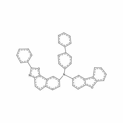 c1ccc(-c2ccc(N(c3ccc4oc5ccccc5c4c3)c3ccc4ccc5nc(-c6ccccc6)oc5c4c3)cc2)cc1